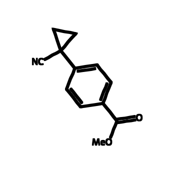 COC(=O)c1ccc(C2(C#N)CC2)cc1